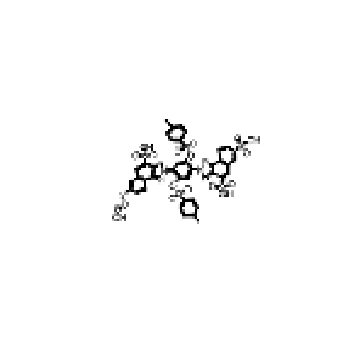 Cc1ccc(S(=O)(=O)Oc2cc(-n3nc4c(S(=O)(=O)O)cc5cc(S(=O)(=O)O)ccc5c4n3)c(OS(=O)(=O)c3ccc(C)cc3)cc2-n2nc3c(S(=O)(=O)O)cc4cc(SOOO)ccc4c3n2)cc1